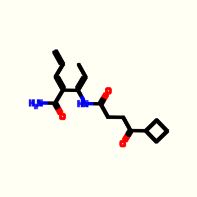 C=C/C=C(C(N)=O)\C(=C/C)NC(=O)CCC(=O)C1CCC1